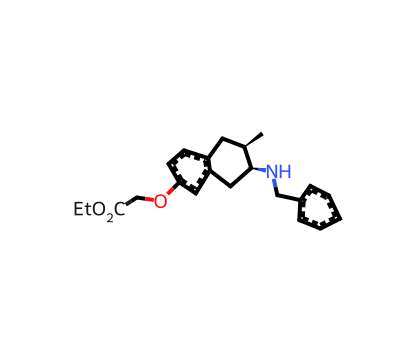 CCOC(=O)COc1ccc2c(c1)C[C@H](NCc1ccccc1)[C@H](C)C2